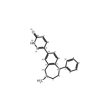 CN1CCN(c2ccccc2)c2ccc(-c3ccc(=O)[nH]n3)cc2C1